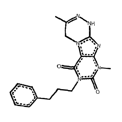 CC1=NNc2nc3c(c(=O)n(CCCc4ccccc4)c(=O)n3C)n2C1